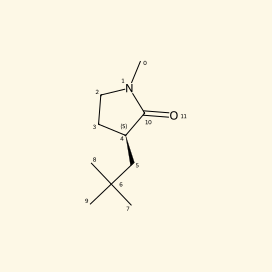 CN1CC[C@H](CC(C)(C)C)C1=O